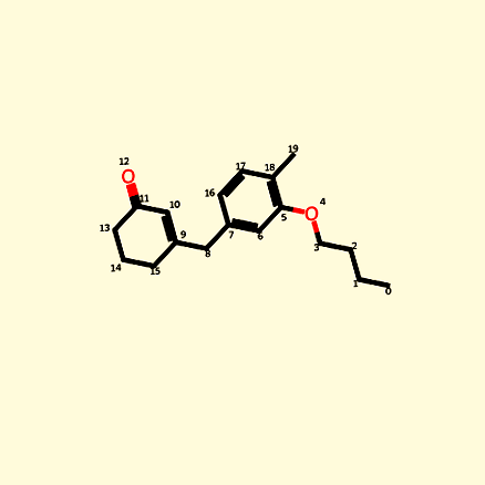 CCCCOc1cc(CC2=CC(=O)CCC2)ccc1C